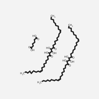 CCCCCCCC/C=C\CCCCCCCC(=O)C(O)C(O)C(O)C(=O)CCCCCCC/C=C\CCCCCCCC.CCCCCCCC/C=C\CCCCCCCC(=O)C(O)C(O)C(O)C(=O)CCCCCCC/C=C\CCCCCCCC.O=C(O)CCCCC(=O)O